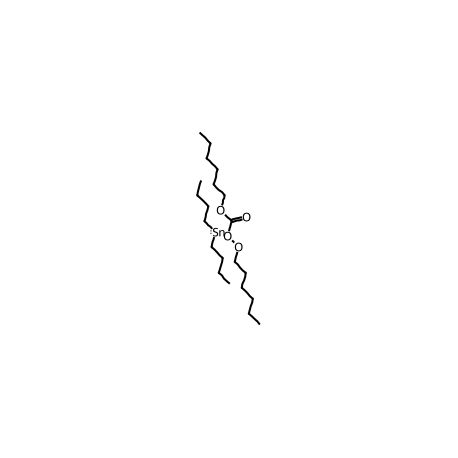 CCCCCCOOC(=O)OCCCCCC.CCC[CH2][Sn][CH2]CCC